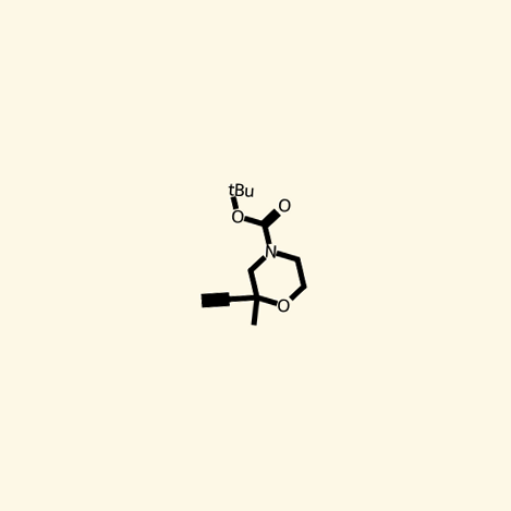 C#CC1(C)CN(C(=O)OC(C)(C)C)CCO1